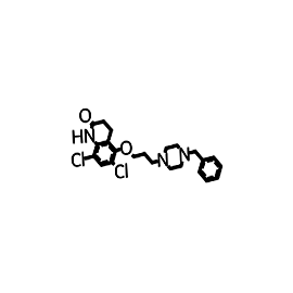 O=C1CCc2c(c(Cl)cc(Cl)c2OCCCN2CCN(Cc3ccccc3)CC2)N1